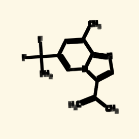 C=C(C)c1cnc2c(C)cc(C(F)(F)P)cn12